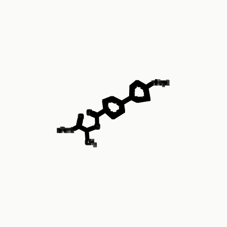 CCCCCCCc1ccc(-c2ccc(C(=O)OC(C)C(=O)CCCCC)cc2)cc1